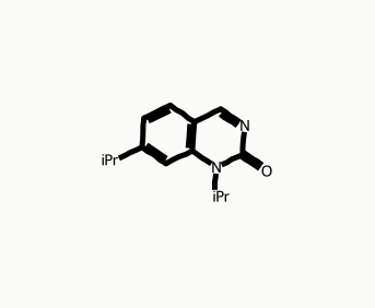 CC(C)c1ccc2cnc(=O)n(C(C)C)c2c1